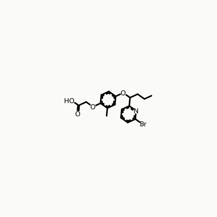 CCCC(Oc1ccc(OCC(=O)O)c(C)c1)c1cccc(Br)n1